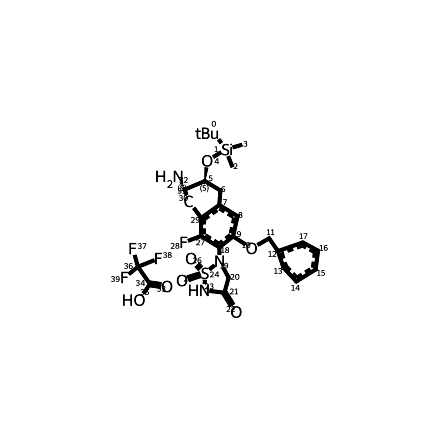 CC(C)(C)[Si](C)(C)O[C@H]1Cc2cc(OCc3ccccc3)c(N3CC(=O)NS3(=O)=O)c(F)c2C[C@@H]1N.O=C(O)C(F)(F)F